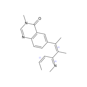 C\C=C/C(=N\C)C(/C)=C(/C)c1ccc2ncn(C)c(=O)c2c1